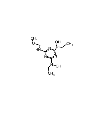 CCN(O)c1nc(NCOC)nc(N(O)CC)n1